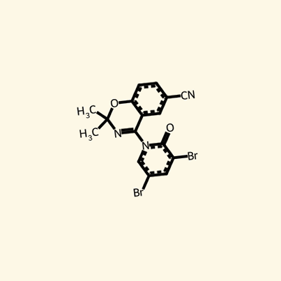 CC1(C)N=C(n2cc(Br)cc(Br)c2=O)c2cc(C#N)ccc2O1